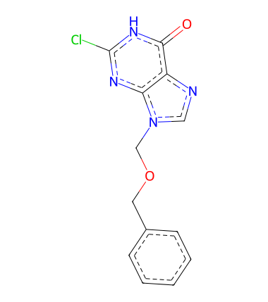 O=c1[nH]c(Cl)nc2c1ncn2COCc1ccccc1